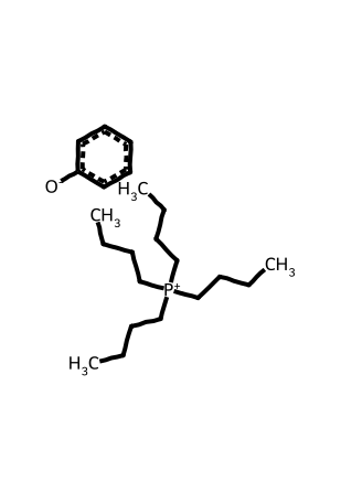 CCCC[P+](CCCC)(CCCC)CCCC.[O-]c1ccccc1